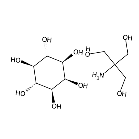 NC(CO)(CO)CO.O[C@H]1[C@H](O)[C@@H](O)[C@H](O)[C@@H](O)[C@H]1O